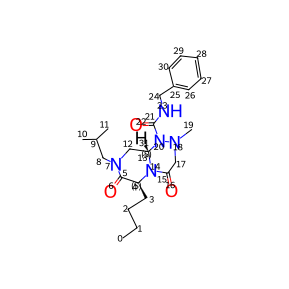 CCCC[C@H]1C(=O)N(CC(C)C)C[C@H]2N1C(=O)CN(C)N2C(=O)NCc1ccccc1